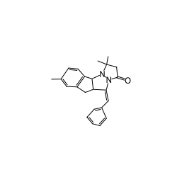 Cc1ccc2c(c1)CC1/C(=C\c3ccccc3)N3C(=O)CC(C)(C)N3C21